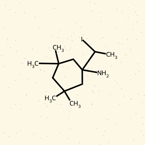 CC(I)C1(N)CC(C)(C)CC(C)(C)C1